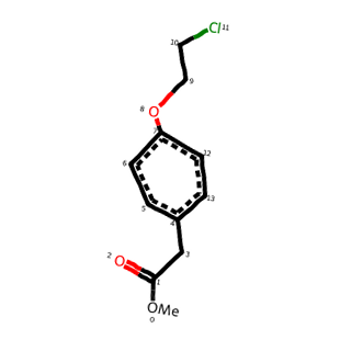 COC(=O)Cc1ccc(OCCCl)cc1